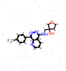 OC1(CNc2nnc(-c3ccc(C(F)(F)F)cc3)c3ncccc23)CCOC1